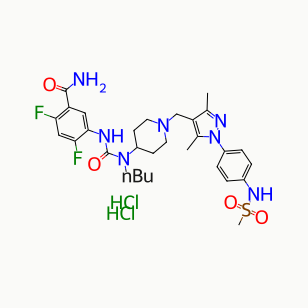 CCCCN(C(=O)Nc1cc(C(N)=O)c(F)cc1F)C1CCN(Cc2c(C)nn(-c3ccc(NS(C)(=O)=O)cc3)c2C)CC1.Cl.Cl